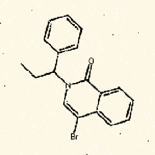 CCC(c1ccccc1)n1cc(Br)c2ccccc2c1=O